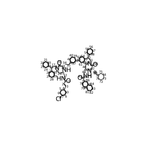 O=C(C=Cc1ccc(Cl)cc1)NC[C@@H]1CCN(CC(c2ccccc2)c2ccccc2)C(=O)[C@H](CCc2ccccc2)N1.O=C(NC[C@@H]1CCN(CC(c2ccccc2)c2ccccc2)C(=O)[C@H](CCC2CCCCC2)N1)c1ccc2ccccc2c1